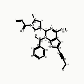 C=CC(=O)N1C[C@H](C2N=C(N)c3cc(C#CCC)[nH]c3N2[C@H](C)c2ccccc2)C[C@@H]1C